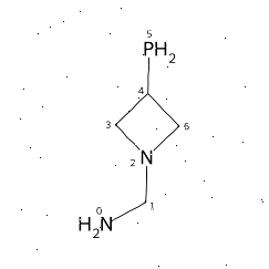 NCN1CC(P)C1